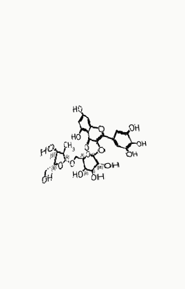 CC1[C@H](OC[C@H]2O[C@@H](Oc3c(-c4cc(O)c(O)c(O)c4)oc4cc(O)cc(O)c4c3=O)[C@H](O)[C@@H](O)[C@H]2O)O[C@H](CO)[C@H]1O